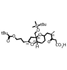 C[C@H](CC1CC[C@@H]2O[C@@H](CCCOC(=O)C(C)(C)C)C[C@]2(CO[Si](C)(C)C(C)(C)C)O1)C(=O)CC(=O)O